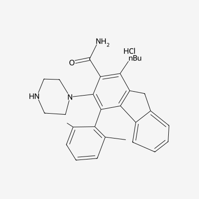 CCCCc1c2c(c(-c3c(C)cccc3C)c(N3CCNCC3)c1C(N)=O)-c1ccccc1C2.Cl